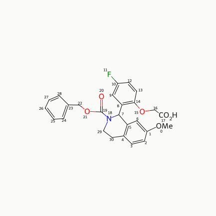 COc1ccc2c(c1)C(c1cc(F)ccc1OCC(=O)O)N(C(=O)OCc1ccccc1)CC2